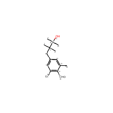 CCc1cc(CC(C)(C)[Si](C)(C)O)cc(C)c1C=O